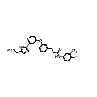 CNCc1cnc(-c2cc(Oc3cccc(CCC(=O)Nc4ccc(Cl)c(C(F)(F)F)c4)c3)ccn2)[nH]1